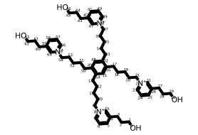 OCCCc1ccc[n+](CCCCCc2cc(CCCCC[n+]3cccc(CCCO)c3)c(CCCCC[n+]3cccc(CCCO)c3)cc2CCCCC[n+]2cccc(CCCO)c2)c1